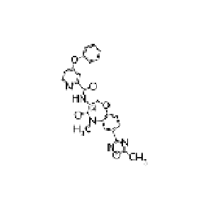 Cc1nc(-c2ccc3c(c2)N(C)C(=O)[C@@H](NC(=O)c2cc(Oc4ccccc4)ccn2)CO3)no1